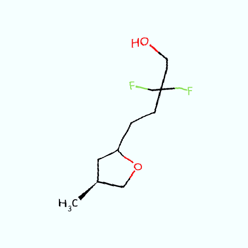 C[C@@H]1COC(CCC(F)(F)CO)C1